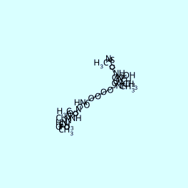 COc1cc(N2CCC(NC(=O)CCOCCOCCOCCOCCC(=O)NC(C(=O)N3C[C@H](O)C[C@H]3C(=O)NCc3ccc(-c4scnc4C)cc3)C(C)(C)C)CC2)ccc1Nc1ncc(Cl)c(Nc2ccccc2P(C)(C)=O)n1